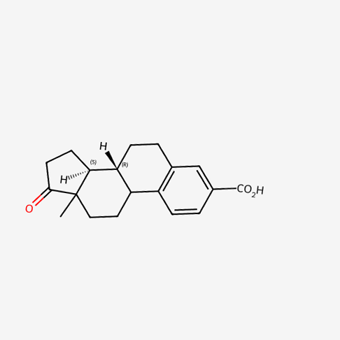 CC12CCC3c4ccc(C(=O)O)cc4CC[C@H]3[C@@H]1CCC2=O